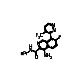 CCCNC(=O)c1ncc2c(-c3nnccc3C(F)(F)F)c(F)ccc2c1N